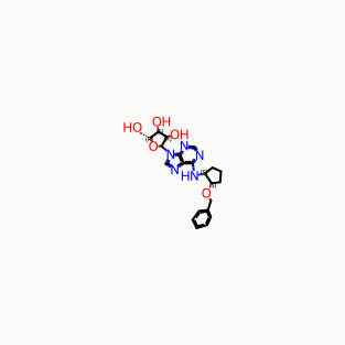 OC[C@H]1OC(n2cnc3c(N[C@H]4CCC[C@@H]4OCc4ccccc4)ncnc32)[C@H](O)[C@@H]1O